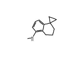 CNc1cccc2c1CCCC21CC1